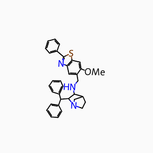 COc1cc2sc(-c3ccccc3)nc2cc1CNC1C2CCN(C2)C1C(c1ccccc1)c1ccccc1